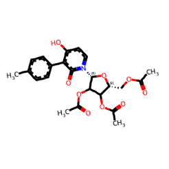 CC(=O)OC[C@H]1O[C@@H](n2ccc(O)c(-c3ccc(C)cc3)c2=O)C(OC(C)=O)C1OC(C)=O